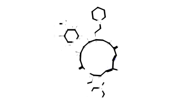 CC[C@H]1OC(=O)C[C@@H](O)[C@H](C)[C@@H](O[C@@H]2O[C@H](C)[C@@H](O)[C@H](N(C)C)[C@H]2O)[C@@H](CCN2CCCCC2)C[C@@H](C)C(=O)/C=C/C(C)=C/[C@@H]1CN(CC)CC